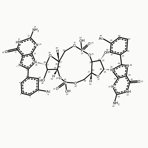 CC(=O)c1cccc(-c2nc3c(=O)[nH]c(N)nc3n2[C@@H]2O[C@@H]3COP(=O)(O)OC4[C@@H](COP(=O)(O)O[C@@H]3C2O)O[C@@H](n2c(-c3cccc(C(C)=O)c3)nc3c(=O)[nH]c(N)nc32)[C@H]4O)c1